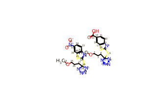 COCCCC1(Sc2nc3ccc(C(=O)O)cc3s2)N=NN=N1.COCCCC1(Sc2nc3ccc([N+](=O)[O-])cc3s2)N=NN=N1